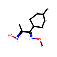 CO/N=C(/C(C)=N/O)C1CCC(C)CC1